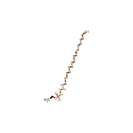 CCOS(=S)(=S)SSSSSSSSSSSSSSSSSSSSSSS